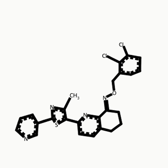 Cc1nc(-c2cccnc2)sc1-c1ccc2c(n1)/C(=N/OCc1cccc(Cl)c1Cl)CCC2